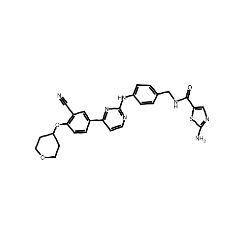 N#Cc1cc(-c2ccnc(Nc3ccc(CNC(=O)c4cnc(N)s4)cc3)n2)ccc1OC1CCOCC1